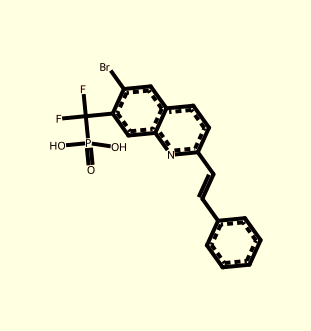 O=P(O)(O)C(F)(F)c1cc2nc(C=Cc3ccccc3)ccc2cc1Br